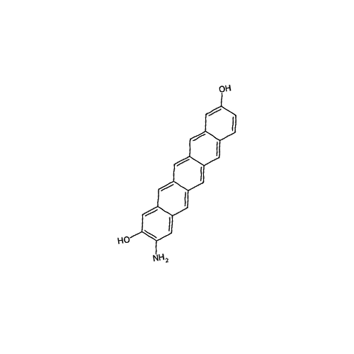 Nc1cc2cc3cc4cc5ccc(O)cc5cc4cc3cc2cc1O